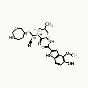 COc1c(O)ccc2[nH]c(C(=O)N[C@@H](CC(C)C)C(=O)N[C@H](C#N)C[C@@H]3CCNCOC3)cc12